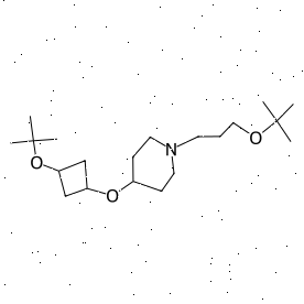 CC(C)(C)OCCCN1CCC(OC2CC(OC(C)(C)C)C2)CC1